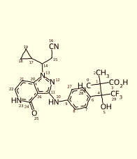 CC(C)(C(=O)O)C(O)(c1ccc(Nc2nn(C(CC#N)C3CC3)c3cc[nH]c(=O)c23)cc1)C(F)(F)F